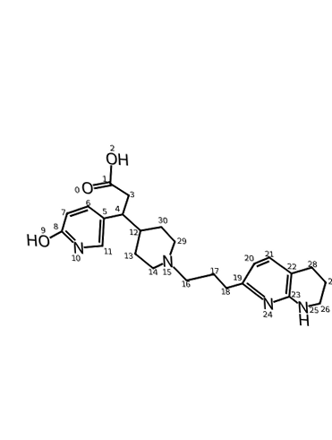 O=C(O)CC(c1ccc(O)nc1)C1CCN(CCCc2ccc3c(n2)NCCC3)CC1